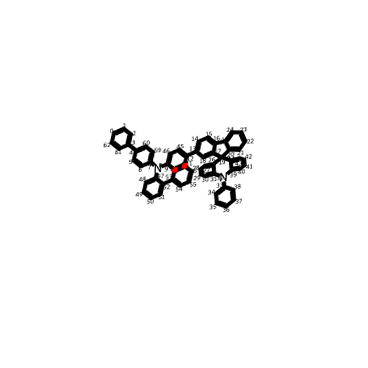 c1ccc(-c2ccc(N(c3ccc(-c4ccc5c(c4)C4(c6ccccc6-5)c5ccccc5N(c5ccccc5)c5ccccc54)cc3)c3ccccc3-c3ccccc3)cc2)cc1